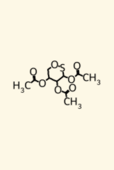 CC(=O)OC1COSC(OC(C)=O)C1OC(C)=O